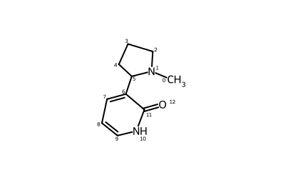 CN1CCCC1c1ccc[nH]c1=O